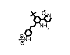 COc1ncccc1-c1cc(C(C)(C)C)cc(CCc2ccc(NS(C)(=O)=O)cc2)c1N